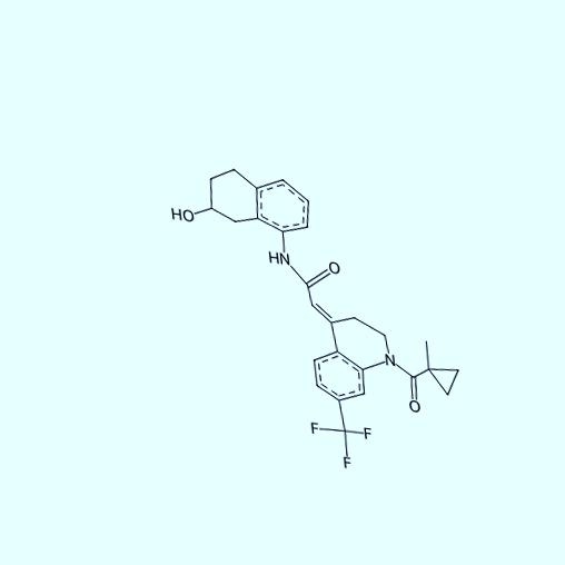 CC1(C(=O)N2CC/C(=C\C(=O)Nc3cccc4c3CC(O)CC4)c3ccc(C(F)(F)F)cc32)CC1